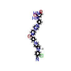 C[C@H]1CC2(CCN(c3ccc(C(=O)N4CCC(N5CCN(c6cccc(NC7CCC(=O)NC7=O)c6)CC5)CC4)cc3)CC2)CN1c1ccc(C#N)c(Cl)c1